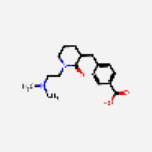 CN(C)CCN1CCCC(Cc2ccc(C(=O)O)cc2)C1=O